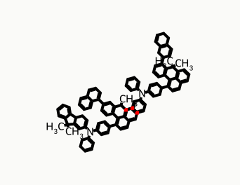 CC(Cc1cccc(N(C2=CCC(c3ccc4cccc5c4c3-c3cccc(C4C=CC6=C(C=CCC6)C4)c3C5(C)C)C=C2)c2ccccc2)c1)c1cc(-c2cccc3ccccc23)ccc1-c1c(-c2ccc(N(C3=CCC4C(=C3)C(C)(C)c3ccccc34)C3=CC=CCC3)cc2)ccc2ccccc12